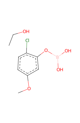 CCO.COc1ccc(Cl)c(OB(O)O)c1